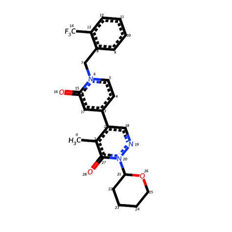 Cc1c(-c2ccn(Cc3ccccc3C(F)(F)F)c(=O)c2)cnn(C2CCCCO2)c1=O